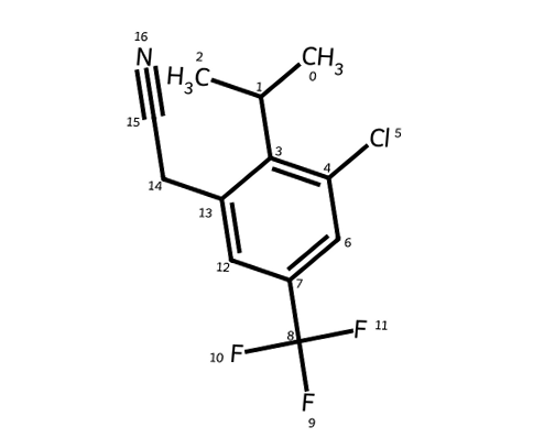 CC(C)c1c(Cl)cc(C(F)(F)F)cc1CC#N